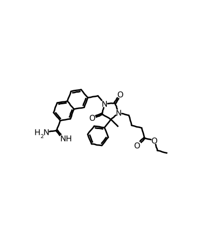 CCOC(=O)CCCN1C(=O)N(Cc2ccc3ccc(C(=N)N)cc3c2)C(=O)C1(C)c1ccccc1